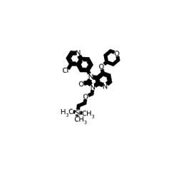 C[Si](C)(C)CCOCn1c(=O)n(-c2ccc3nccc(Cl)c3c2)c2c(OC3CCOCC3)ccnc21